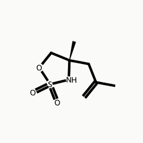 C=C(C)C[C@@]1(C)COS(=O)(=O)N1